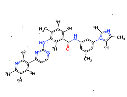 [2H]c1nc([2H])c(-c2ccnc(Nc3c([2H])c(C(=O)Nc4cc(C)cc(-n5c([2H])nc(C)c5[2H])c4)c([2H])c([2H])c3C)n2)c([2H])c1[2H]